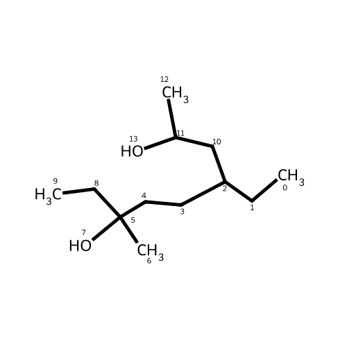 CCC(CCC(C)(O)CC)CC(C)O